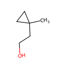 CC1(CCO)CC1